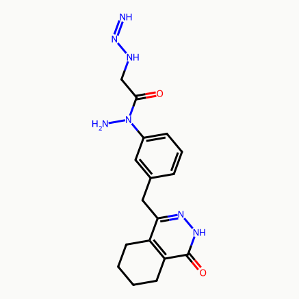 N=NNCC(=O)N(N)c1cccc(Cc2n[nH]c(=O)c3c2CCCC3)c1